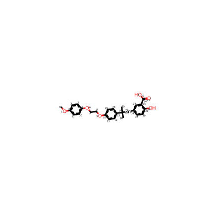 COc1ccc(OCCOc2ccc([C](C)(C)[Zn][c]3ccc(O)c(C(=O)O)c3)cc2)cc1